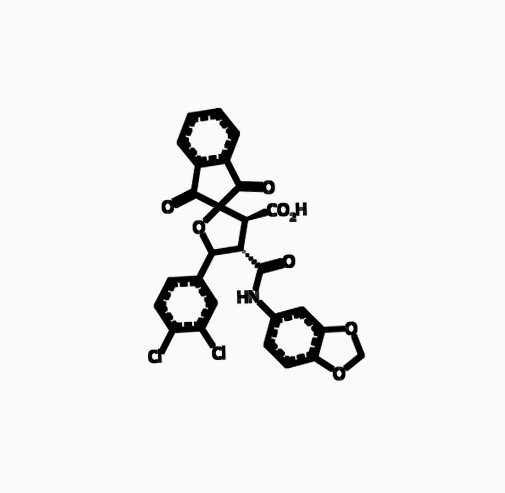 O=C(Nc1ccc2c(c1)OCO2)[C@@H]1C(c2ccc(Cl)c(Cl)c2)OC2(C(=O)c3ccccc3C2=O)[C@H]1C(=O)O